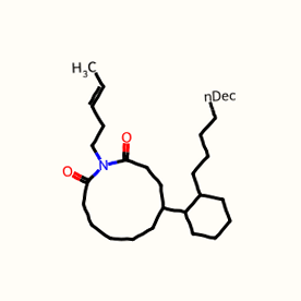 CC=CCCN1C(=O)CCCCCC(C2CCCCC2CCCCCCCCCCCCCC)CCC1=O